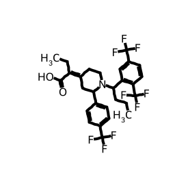 CCCC(c1cc(C(F)(F)F)ccc1C(F)(F)F)N1CCC(=C(CC)C(=O)O)CC1c1ccc(C(F)(F)F)cc1